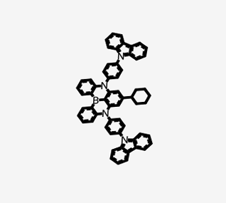 c1ccc2c(c1)B1c3ccccc3N(c3ccc(-n4c5ccccc5c5ccccc54)cc3)c3cc(C4CCCCC4)cc(c31)N2c1ccc(-n2c3ccccc3c3ccccc32)cc1